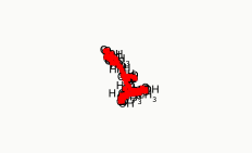 CCNC(/C=C/C=C/C=C1\N(CCCCCC(=O)NCCCCC(NC(=O)CN2C(=O)C=CC2=O)C(=O)NCCNC(=O)CO[C@H]2CC[C@]3(C)C4C[C@@H](O)[C@]5(C)[C@@H](C6=CC(=O)OC6)CC[C@]5(O)C4CC[C@@H]3C2)c2ccc(S(=O)(=O)O)cc2C1(C)C)C(C)(C)c1cc(S(=O)(=O)O)ccc1C